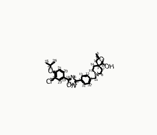 C=CCC1(C(=O)O)CCN(Cc2ccc(-c3noc(-c4ccc(OC(C)C)c(Cl)c4)n3)cc2)CC1